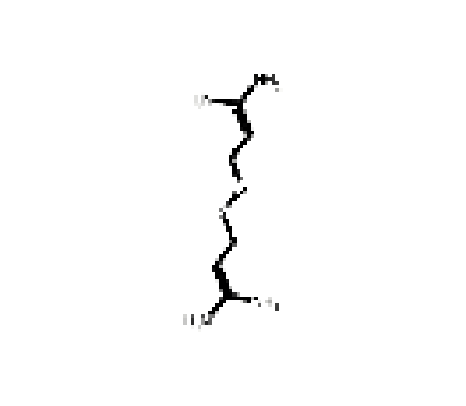 NC(N)=CCSSCC=C(N)N